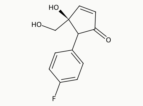 O=C1C=C[C@@](O)(CO)C1c1ccc(F)cc1